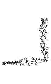 O=P([O-])([O-])[O-].O=P([O-])([O-])[O-].O=P([O-])([O-])[O-].O=P([O-])([O-])[O-].O=P([O-])([O-])[O-].O=P([O-])([O-])[O-].O=P([O-])([O-])[O-].[In+3].[In+3].[In+3].[In+3].[In+3].[O-2].[O-2].[O-2].[O-2].[O-2].[O-2].[O-2].[Sn+4].[Sn+4].[Sn+4].[Sn+4].[Sn+4]